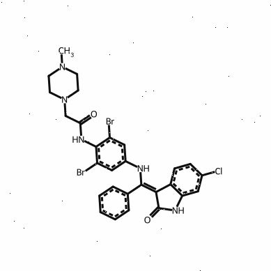 CN1CCN(CC(=O)Nc2c(Br)cc(NC(=C3C(=O)Nc4cc(Cl)ccc43)c3ccccc3)cc2Br)CC1